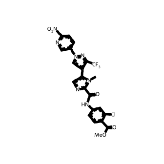 COC(=O)c1ccc(NC(=O)c2ncc(-c3cn(-c4ccc([N+](=O)[O-])nc4)nc3C(F)(F)F)n2C)cc1Cl